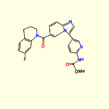 COC(=O)Nc1ccc(-c2cnc3ccc(C(=O)N4CCCc5ccc(F)cc54)cn23)cn1